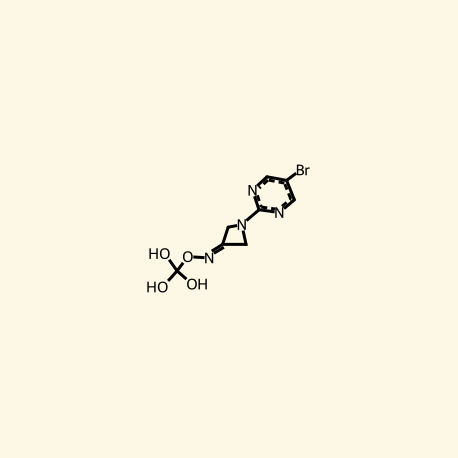 OC(O)(O)ON=C1CN(c2ncc(Br)cn2)C1